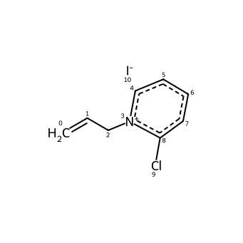 C=CC[n+]1ccccc1Cl.[I-]